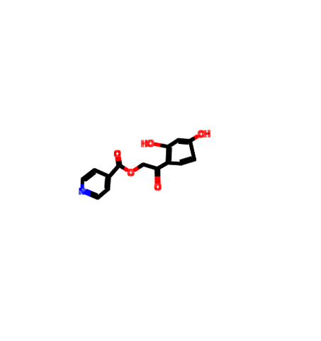 O=C(OCC(=O)c1ccc(O)cc1O)c1ccncc1